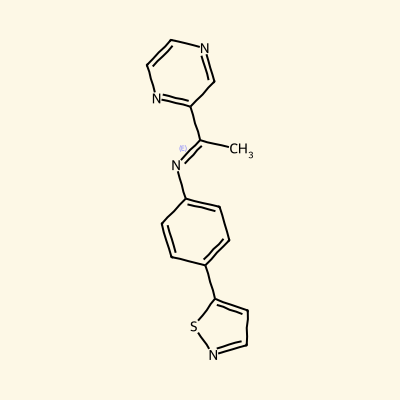 C/C(=N\c1ccc(-c2ccns2)cc1)c1cnccn1